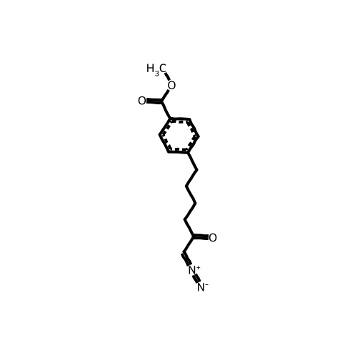 COC(=O)c1ccc(CCCCC(=O)C=[N+]=[N-])cc1